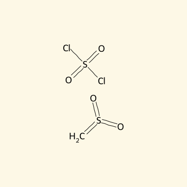 C=S(=O)=O.O=S(=O)(Cl)Cl